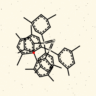 Cc1cc(C)cc(P(=O)(c2cc(C)cc(C)c2)c2cc(C)cc(C)c2-c2c(C)cc(C)cc2P(=O)(c2cc(C)cc(C)c2)c2cc(C)cc(C)c2)c1